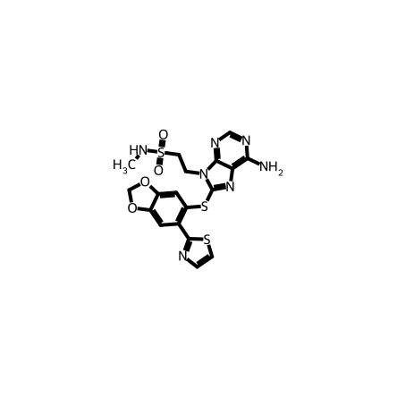 CNS(=O)(=O)CCn1c(Sc2cc3c(cc2-c2nccs2)OCO3)nc2c(N)ncnc21